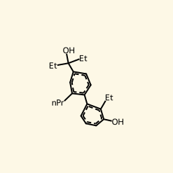 CCCc1cc(C(O)(CC)CC)ccc1-c1cccc(O)c1CC